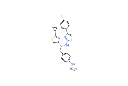 O=S(=O)(O)Nc1ccc(CC(Nc2nc(-c3ccc(F)cc3)cs2)c2csc(C3CC3)n2)cc1